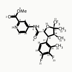 COC(=O)c1cc(NC(=O)[C@@H]2O[C@@](C)(C(F)(F)F)[C@@H](C)[C@H]2c2ccc(F)c(F)c2C)ccn1